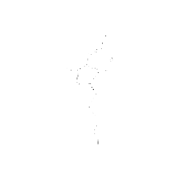 Fc1ccc2c(c1)c(I)nn2CCCCCl